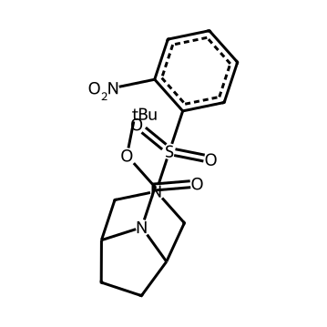 CC(C)(C)OC(=O)N1C2CCC1CN(S(=O)(=O)c1ccccc1[N+](=O)[O-])C2